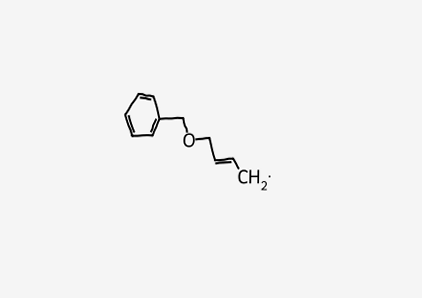 [CH2]/C=C/COCc1ccccc1